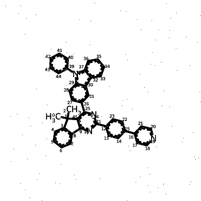 CC1(C)c2ccccc2-c2nc(-c3ccc(-c4ccncc4)cc3)nc(-c3ccc4c(c3)c3ccccc3n4-c3ccccc3)c21